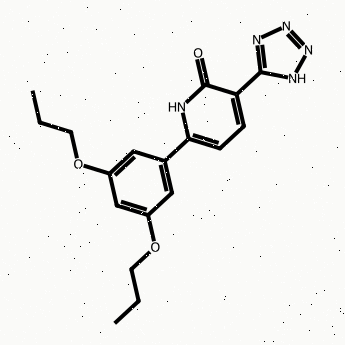 CCCOc1cc(OCCC)cc(-c2ccc(-c3nnn[nH]3)c(=O)[nH]2)c1